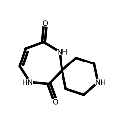 O=C1C=CNC(=O)C2(CCNCC2)N1